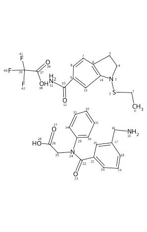 CCSN1CCc2ccc(C(N)=O)cc21.NCc1cccc(C(=O)N(CC(=O)O)c2ccccc2)c1.O=C(O)C(F)(F)F